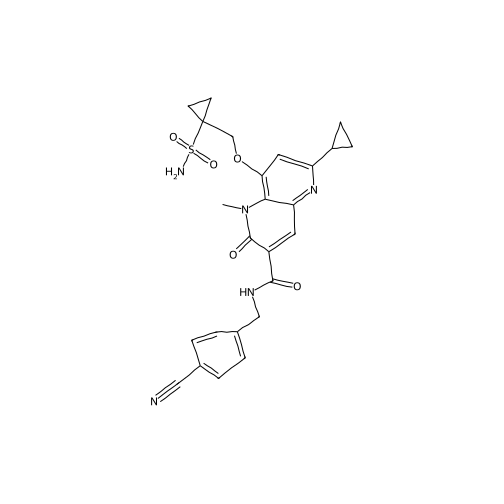 Cn1c(=O)c(C(=O)NCc2ccc(C#N)cc2)cc2nc(C3CC3)cc(OCC3(S(N)(=O)=O)CC3)c21